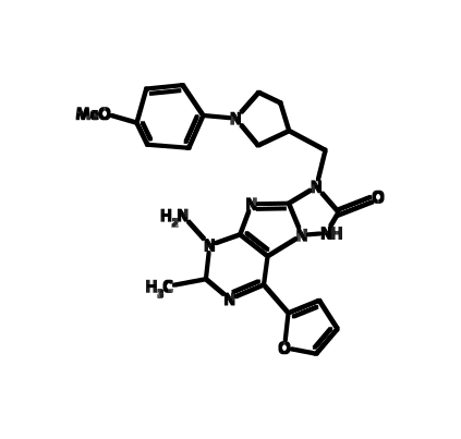 COc1ccc(N2CCC(Cn3c(=O)[nH]n4c5c(nc34)N(N)C(C)N=C5c3ccco3)C2)cc1